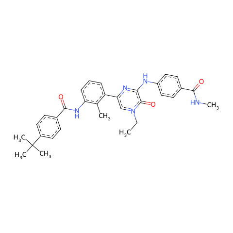 CCn1cc(-c2cccc(NC(=O)c3ccc(C(C)(C)C)cc3)c2C)nc(Nc2ccc(C(=O)NC)cc2)c1=O